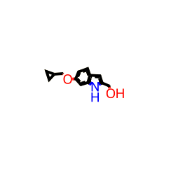 OCc1cc2ccc(OCC3CC3)cc2[nH]1